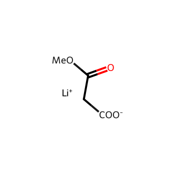 COC(=O)CC(=O)[O-].[Li+]